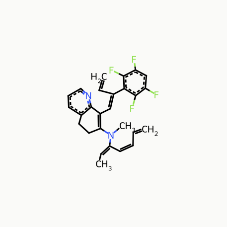 C=C/C=C\C(=C/C)N(C)C1=C(/C=C(\C=C)c2c(F)c(F)cc(F)c2F)c2ncccc2CC1